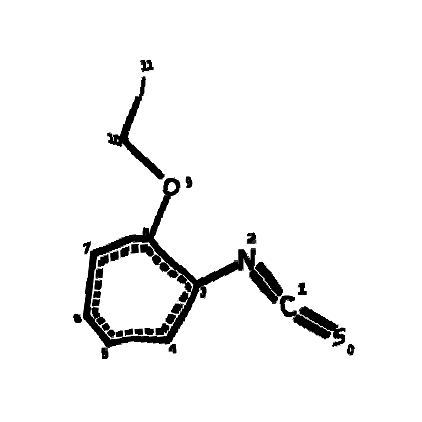 S=C=Nc1ccccc1OCI